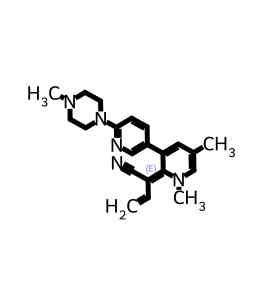 C=C/C(C#N)=C1/C(c2ccc(N3CCN(C)CC3)nc2)=CC(C)=CN1C